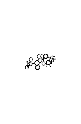 Cc1ccc(C(C)(c2ccc(C)c(N3C(=O)C4CC(C5CC(=O)N(C)C5=O)c5ccccc5C4C3=O)c2)C(F)(F)F)cc1C